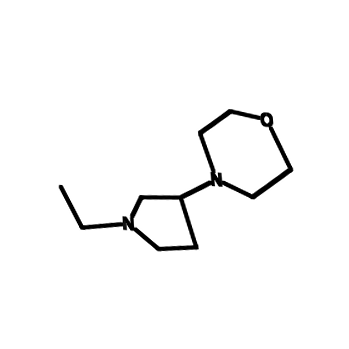 CCN1CCC(N2CCOCC2)C1